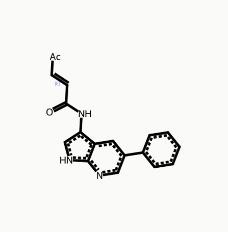 CC(=O)/C=C/C(=O)Nc1c[nH]c2ncc(-c3ccccc3)cc12